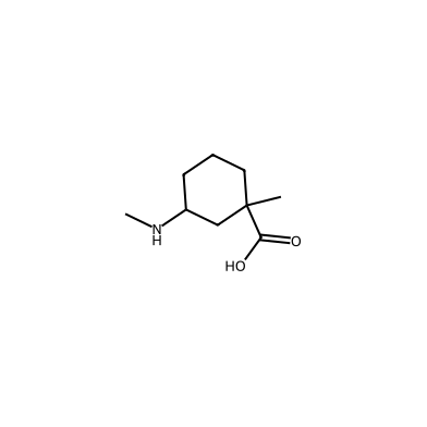 CNC1CCCC(C)(C(=O)O)C1